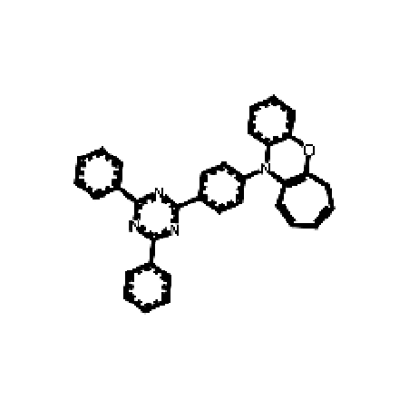 C1=CCC2=C(C=C1)N(c1ccc(-c3nc(-c4ccccc4)nc(-c4ccccc4)n3)cc1)c1ccccc1O2